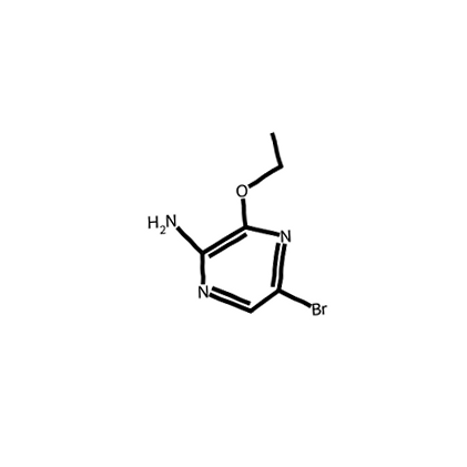 CCOc1nc(Br)cnc1N